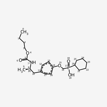 CCCCOC(=O)N[C@H](C)Cc1ccc(OCP(=O)(O)C2CCCCC2)cc1